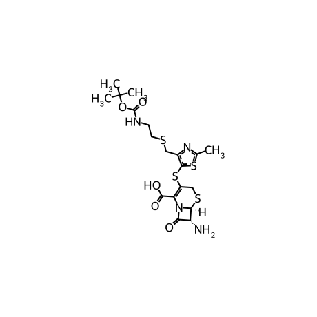 Cc1nc(CSCCNC(=O)OC(C)(C)C)c(SC2=C(C(=O)O)N3C(=O)[C@@H](N)[C@@H]3SC2)s1